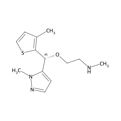 CNCCO[C@@H](c1sccc1C)c1ccnn1C